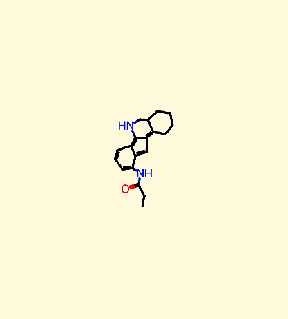 CCC(=O)Nc1cccc2c1=CC1=C3CCCCC3CNC=21